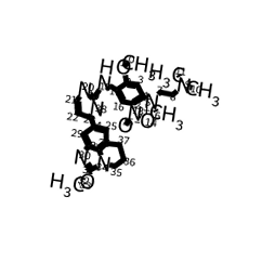 COc1cc(N(C)CCN(C)C)c([N+](=O)[O-])cc1Nc1nccc(-c2cc3c4c(c2)nc(OC)n4CCC3)n1